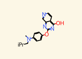 CC(C)CN(C)c1ccc(Oc2nc(O)c3ccncc3n2)cc1